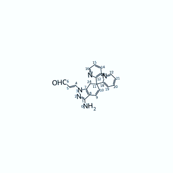 Nc1nn(C=CC=O)c2c1C=CC(c1ccccn1)(c1ccccn1)C2